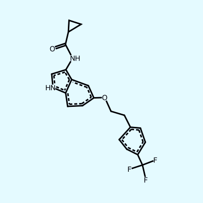 O=C(Nc1c[nH]c2ccc(OCCc3ccc(C(F)(F)F)cc3)cc12)C1CC1